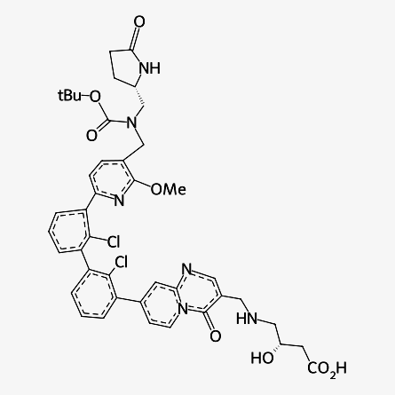 COc1nc(-c2cccc(-c3cccc(-c4ccn5c(=O)c(CNC[C@@H](O)CC(=O)O)cnc5c4)c3Cl)c2Cl)ccc1CN(C[C@@H]1CCC(=O)N1)C(=O)OC(C)(C)C